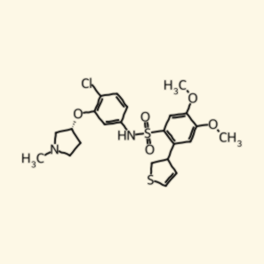 COc1cc(C2C=CSC2)c(S(=O)(=O)Nc2ccc(Cl)c(O[C@@H]3CCN(C)C3)c2)cc1OC